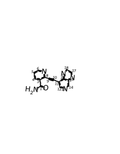 NC(=O)c1cccnc1C#Cc1cncc2nccnc12